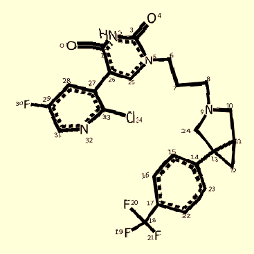 O=c1[nH]c(=O)n(CCCN2CC3CC3(c3ccc(C(F)(F)F)cc3)C2)cc1-c1cc(F)cnc1Cl